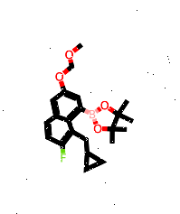 COCOc1cc(B2OC(C)(C)C(C)(C)O2)c2c(CC3CC3)c(F)ccc2c1